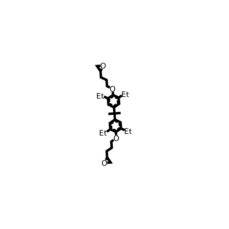 CCc1cc(C(C)(C)c2cc(CC)c(OCCCC3CO3)c(CC)c2)cc(CC)c1OCCCC1CO1